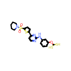 O=S(=O)(c1ccc(-c2ccnc(Nc3cccc(OC(S)S)c3)n2)s1)N1CCCCC1